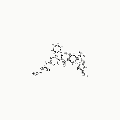 CCOC(=O)Cc1ccc(NC(=O)c2cc(-c3ccn(C)n3)c(C(F)(F)F)cc2F)c(-c2ccccc2)n1